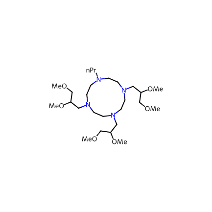 CCCN1CCN(CC(COC)OC)CCN(CC(COC)OC)CCN(CC(COC)OC)CC1